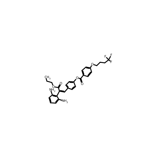 CCCOC(=O)C(=Cc1ccc(OC(=O)c2ccc(OCCCC(F)(F)F)cc2)cc1)c1c(N)cccc1N